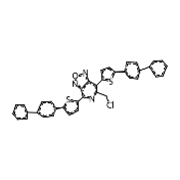 ClCc1nc(-c2ccc(-c3ccc(-c4ccccc4)cc3)s2)c2nonc2c1-c1ccc(-c2ccc(-c3ccccc3)cc2)s1